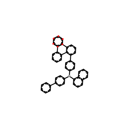 c1ccc(-c2ccc(N(c3ccc(-c4cccc(-c5ccccc5)c4-c4ccccc4-c4ccccc4)cc3)c3cccc4ccccc34)cc2)cc1